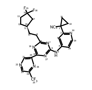 N#CC1(c2cc(Nc3nc(CC[C@H]4CCC(F)(F)C4)nc(-c4cncc(C(F)(F)F)n4)n3)ccn2)CC1